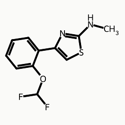 CNc1nc(-c2ccccc2OC(F)F)cs1